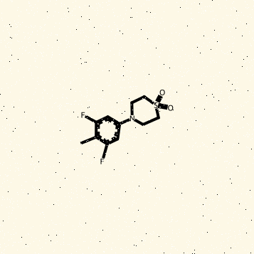 Cc1c(F)cc(N2CCS(=O)(=O)CC2)cc1F